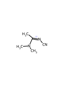 C/C(=N/C#N)N(C)C